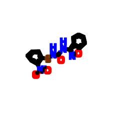 O=C(NSc1ccccc1[N+](=O)[O-])Nc1noc2ccccc12